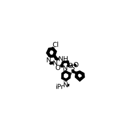 CC(C)N(C)[C@@H]1CC[C@H](N2CCC(Nc3ncnc4ccc(Cl)cc34)C2=O)[C@H](C(c2ccccc2)=S(=O)=O)C1